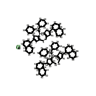 CC1=[C]([Hf]([C]2=C(C)C=C(c3cccc4ccccc34)C2)=[Si](c2ccccc2)c2ccccc2)CC(c2cccc3ccccc23)=C1.CC1=[C]([Hf]([C]2=C(C)C=C(c3cccc4ccccc34)C2)=[Si](c2ccccc2)c2ccccc2)CC(c2cccc3ccccc23)=C1.[Cl-].[Cl-]